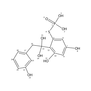 O=P(O)(O)Sc1cc(O)cc(O)c1C(O)(O)Cc1cccc(O)c1